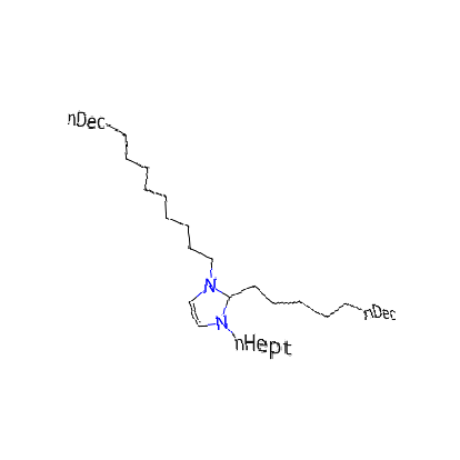 CCCCCCCCCCCCCCCCCCCN1C=CN(CCCCCCC)C1CCCCCCCCCCCCCCC